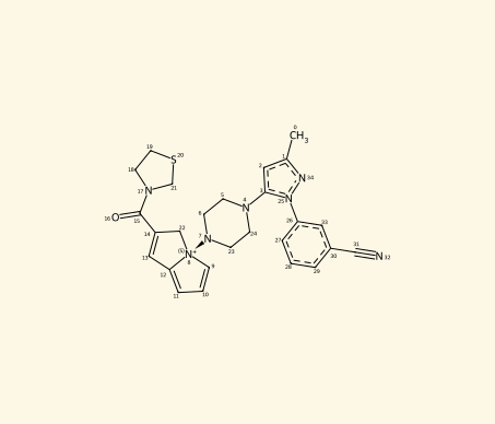 Cc1cc(N2CCN([N@@+]34C=CC=C3C=C(C(=O)N3CCSC3)C4)CC2)n(-c2cccc(C#N)c2)n1